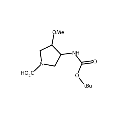 COC1CN(C(=O)O)CC1NC(=O)OC(C)(C)C